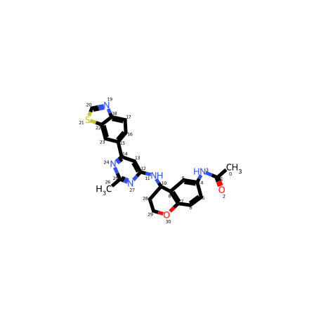 CC(=O)Nc1ccc2c(c1)C(Nc1cc(-c3ccc4ncsc4c3)nc(C)n1)CCO2